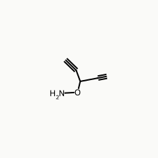 C#CC(C#C)ON